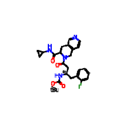 CC(C)(C)OC(=O)N[C@@H](CC(=O)N1Cc2ccncc2CC1C(=O)NC1CC1)Cc1ccccc1F